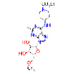 CCOC(=O)N1CCC(Nc2nc(C)nc3c2ncn3[C@@H]2O[C@H](COC(F)(F)F)[C@@H](O)[C@H]2O)CC1